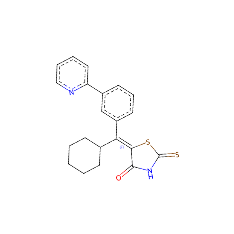 O=C1NC(=S)S/C1=C(\c1cccc(-c2ccccn2)c1)C1CCCCC1